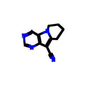 N#Cc1c2n(c3[c]ncnc13)CCCC2